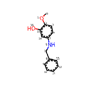 COc1ccc(NCc2ccccc2)cc1O